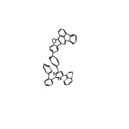 C1=CC2=C(c3cc(-c4ccc(-c5ccc6oc7c8cccc9c8c(cc7c6c5)-c5ccccc5-9)cc4)nc(-c4ccccc4-c4ccccc4)n3)C=CCC2C=C1